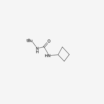 CC(C)(C)NC(=O)NC1CCC1